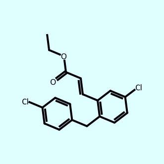 CCOC(=O)C=Cc1cc(Cl)ccc1Cc1ccc(Cl)cc1